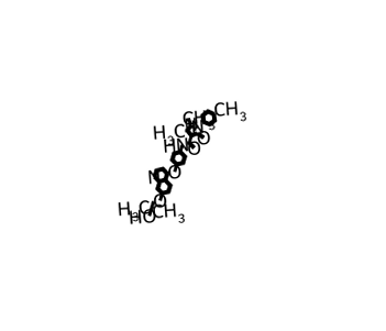 Cc1ccc(-n2c(=O)c(C(=O)Nc3ccc(Oc4ccnc5cc(OCC(C)(C)O)ccc45)cc3)c(C)n2C)cc1